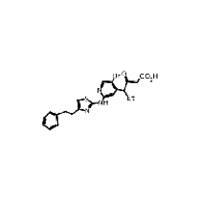 CCC(C(=O)CC(=O)O)c1cc(Nc2nc(CCc3ccccc3)cs2)ncc1Br